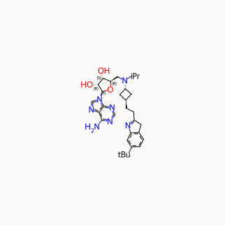 CC(C)N(C[C@H]1O[C@@H](n2cnc3c(N)ncnc32)[C@H](O)[C@@H]1O)[C@H]1C[C@H](CCC2=Nc3cc(C(C)(C)C)ccc3C2)C1